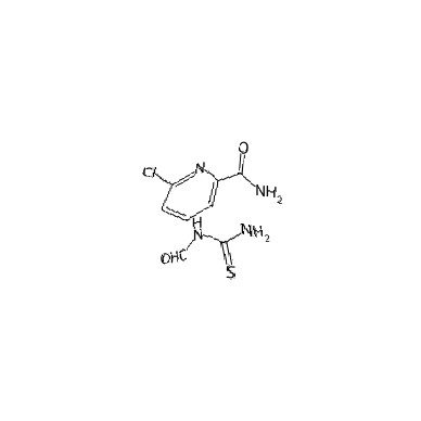 NC(=O)c1cccc(Cl)n1.NC(=S)NC=O